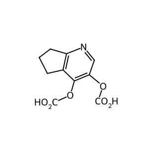 O=C(O)Oc1cnc2c(c1OC(=O)O)CCC2